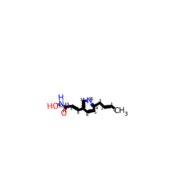 C/C=C/Cc1ccc(/C=C/C(=O)NO)cn1